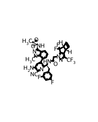 Cn1nc(NS(C)(=O)=O)c2cccc(-c3cc(N)c(C#N)nc3[C@H](Cc3cc(F)cc(F)c3)NC(=O)Cn3nc(C(F)(F)F)c4c3C(F)(F)[C@@H]3C#C[C@H]43)c21